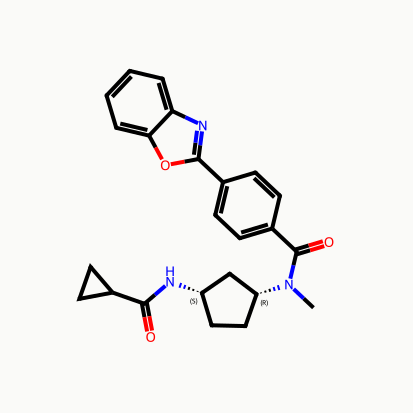 CN(C(=O)c1ccc(-c2nc3ccccc3o2)cc1)[C@@H]1CC[C@H](NC(=O)C2CC2)C1